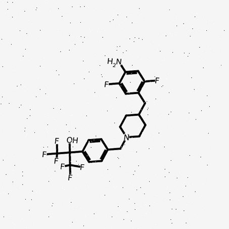 Nc1cc(F)c(CC2CCN(Cc3ccc(C(O)(C(F)(F)F)C(F)(F)F)cc3)CC2)cc1F